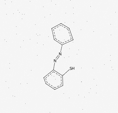 Sc1ccccc1N=Nc1ccccc1